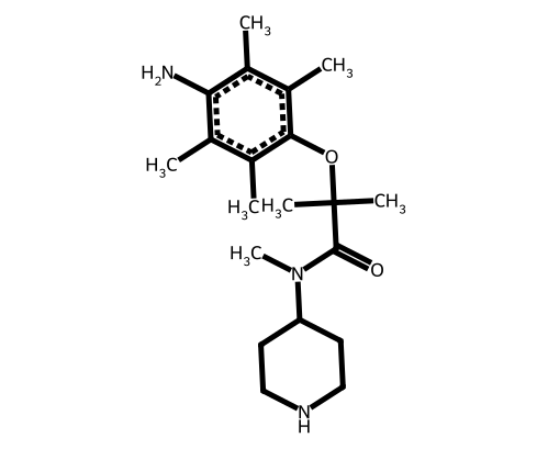 Cc1c(C)c(OC(C)(C)C(=O)N(C)C2CCNCC2)c(C)c(C)c1N